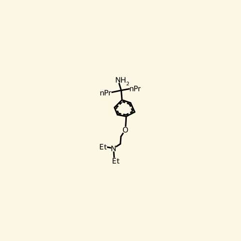 CCCC(N)(CCC)c1ccc(OCCN(CC)CC)cc1